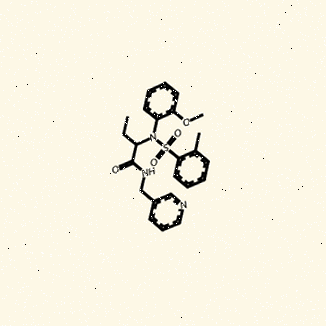 CCC(C(=O)NCc1cccnc1)N(c1ccccc1OC)S(=O)(=O)c1ccccc1C